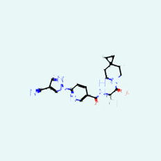 C[C@H](NC(=O)c1ccc(-n2cc(C#N)cn2)nc1)C(=O)N1CCC2(CC1)CC2